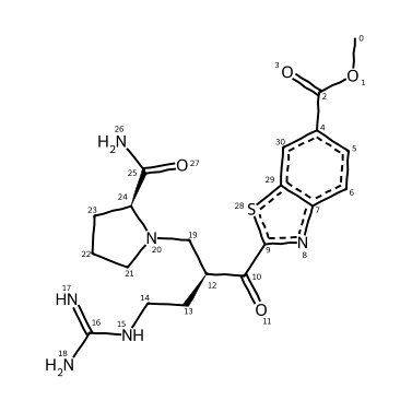 COC(=O)c1ccc2nc(C(=O)[C@@H](CCNC(=N)N)CN3CCC[C@H]3C(N)=O)sc2c1